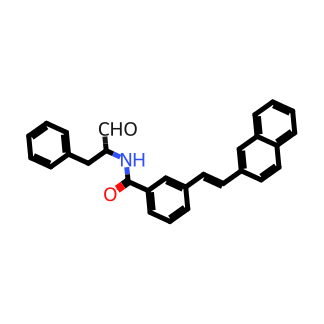 O=CC(Cc1ccccc1)NC(=O)c1cccc(C=Cc2ccc3ccccc3c2)c1